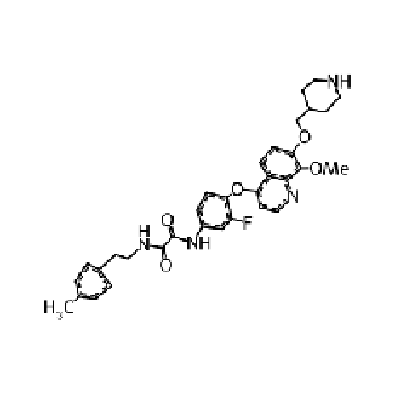 COc1c(OCC2CCNCC2)ccc2c(Oc3ccc(NC(=O)C(=O)NCCc4ccc(C)cc4)cc3F)ccnc12